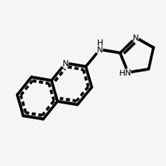 c1ccc2nc(NC3=NCCN3)ccc2c1